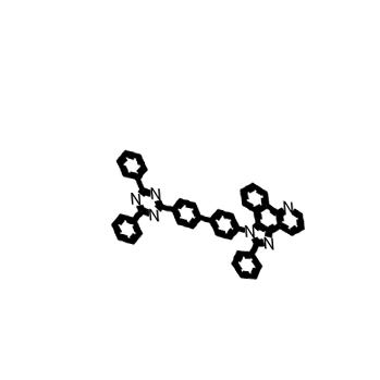 c1ccc(-c2nc(-c3ccccc3)nc(-c3ccc(-c4ccc(-n5c(-c6ccccc6)nc6c7cccnc7c7ccccc7c65)cc4)cc3)n2)cc1